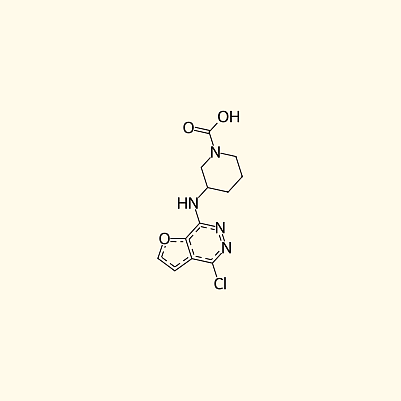 O=C(O)N1CCCC(Nc2nnc(Cl)c3ccoc23)C1